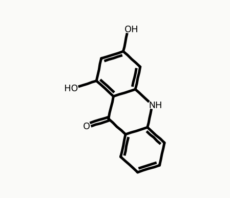 O=c1c2ccccc2[nH]c2cc(O)cc(O)c12